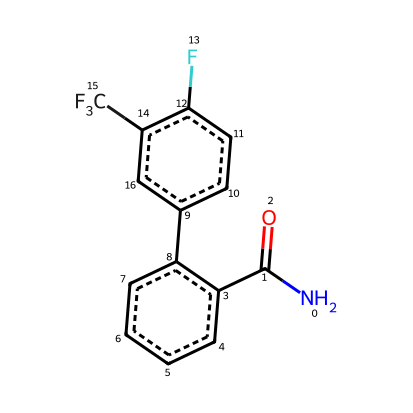 NC(=O)c1ccccc1-c1ccc(F)c(C(F)(F)F)c1